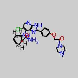 CN1CCN(C(=O)COc2ccc(-c3nc4c(N[C@H]5[C@@H](C(N)=O)[C@@H]6C=C[C@H]5CC6)c(Cl)cnc4[nH]3)cc2)CC1